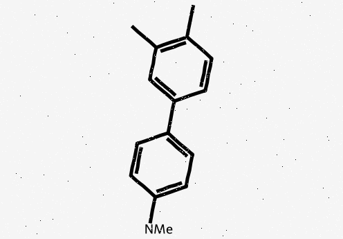 CNc1ccc(-c2ccc(C)c(C)c2)cc1